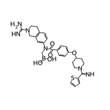 N=C(N)N1CCc2ccc(N(CB(O)O)S(=O)(=O)c3ccc(OC4CCN(C(=N)c5cccs5)CC4)cc3)cc2C1